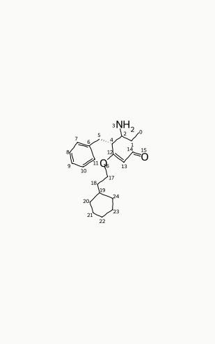 CCC(N)[C@@H](Cc1ccccc1)/C(=C\C=O)OCCC1CCCCC1